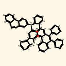 c1ccc(-c2c(-c3ccccc3)c3cc(-c4ccccc4N(c4ccc5c(ccc6ccccc65)c4)c4ccc5oc6ccccc6c5c4)ccc3c3ccccc23)cc1